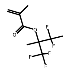 C=C(C)C(=O)OC(C)(C(C)(F)F)C(F)(F)F